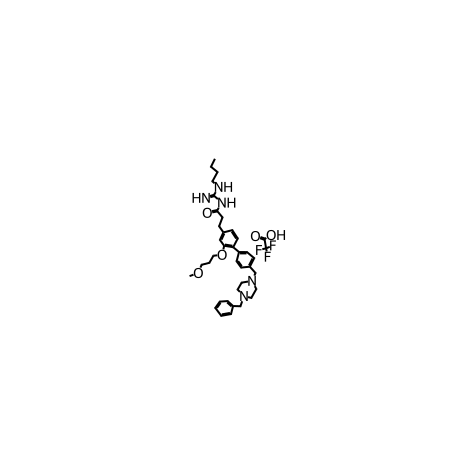 CCCCNC(=N)NC(=O)CCc1ccc(-c2ccc(CN3CCN(Cc4ccccc4)CC3)cc2)c(OCCCOC)c1.O=C(O)C(F)(F)F